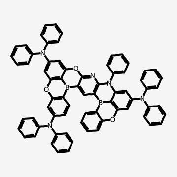 c1ccc(N(c2ccccc2)c2ccc3c(c2)Oc2cc(N(c4ccccc4)c4ccccc4)cc4c2B3c2cc3c(nc2O4)N(c2ccccc2)c2cc(N(c4ccccc4)c4ccccc4)cc4c2B3c2ccccc2O4)cc1